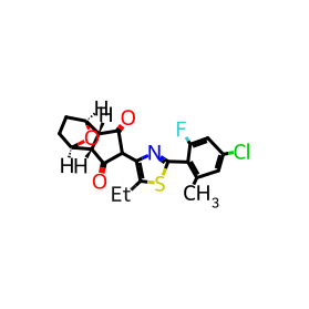 CCc1sc(-c2c(C)cc(Cl)cc2F)nc1C1C(=O)[C@@H]2[C@H](C1=O)[C@H]1CC[C@@H]2O1